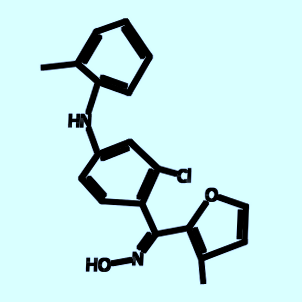 Cc1ccccc1Nc1ccc(/C(=N\O)c2occc2C)c(Cl)c1